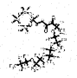 C[Si]1(C)O[Si](C)(C)O[Si](C)(CCC(=O)C(=O)C(F)(OC(F)(F)C(F)(OC(F)(F)C(F)(OC(F)(F)C(F)(OC(F)(F)C(F)(F)C(F)(F)F)C(F)(F)F)C(F)(F)F)C(F)(F)F)C(F)(F)F)O[Si](C)(C)O1